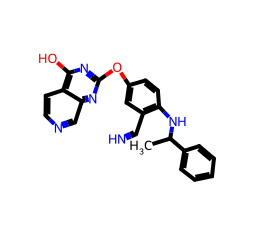 CC(Nc1ccc(Oc2nc(O)c3ccncc3n2)cc1C=N)c1ccccc1